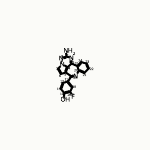 Nc1nc2c3c(ccn3n1)C(c1ccc(O)c(F)c1)=Nc1ccccc1-2